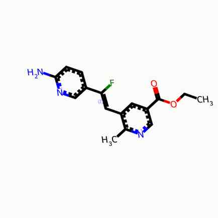 CCOC(=O)c1cnc(C)c(/C=C(\F)c2ccc(N)nc2)c1